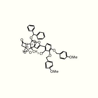 COc1ccc(COc2ccc(-c3cc([C@@]4(C)[C@H](C(=O)OC(c5ccccc5)c5ccccc5)N5C(=O)C[C@H]5S4(=O)=O)no3)c(Cl)c2OCc2ccc(OC)cc2)cc1